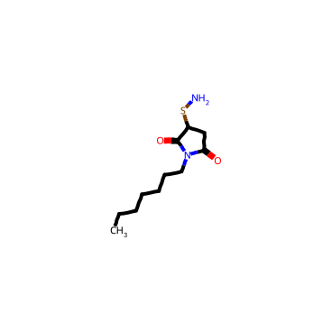 CCCCCCCN1C(=O)CC(SN)C1=O